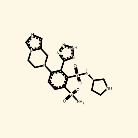 NS(=O)(=O)c1ccc(N2CCn3cncc3C2)c(-c2nn[nH]n2)c1S(=O)(=O)N[C@@H]1CCNC1